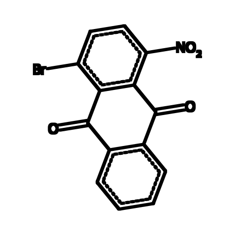 O=C1c2ccccc2C(=O)c2c([N+](=O)[O-])ccc(Br)c21